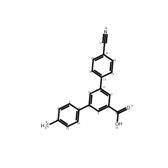 Cc1ccc(-c2cc(C(=O)O)cc(-c3ccc(C#N)cc3)c2)cc1